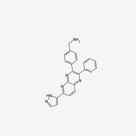 NCc1ccc(-c2nc3nc(-c4ccn[nH]4)ccc3nc2-c2ccccc2)cc1